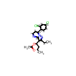 CCCC(OC(C)=O)c1c(CC)nn2c(-c3ccc(Cl)cc3Cl)ccnc12